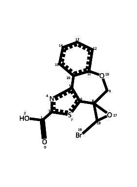 O=C(O)c1nc2c(s1)C1(COc3ccccc3-2)OC1Br